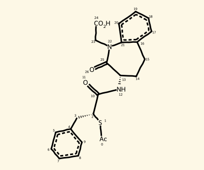 CC(=O)S[C@H](Cc1ccccc1)C(=O)N[C@H]1CCc2ccccc2N(CC(=O)O)C1=O